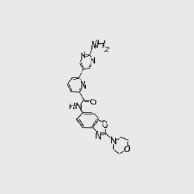 Nc1ncc(-c2cccc(C(=O)Nc3ccc4nc(N5CCOCC5)oc4c3)n2)cn1